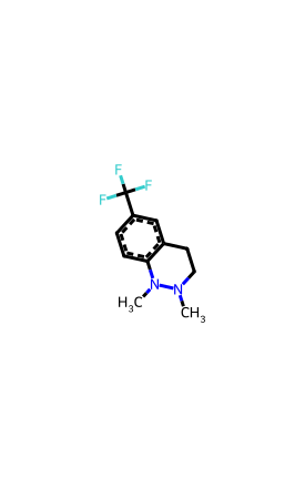 CN1CCc2cc(C(F)(F)F)ccc2N1C